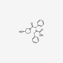 O=C([C@H](c1ccccc1)N(Cc1ccccc1)C(=O)O)N1CC[C@@H](O)C1